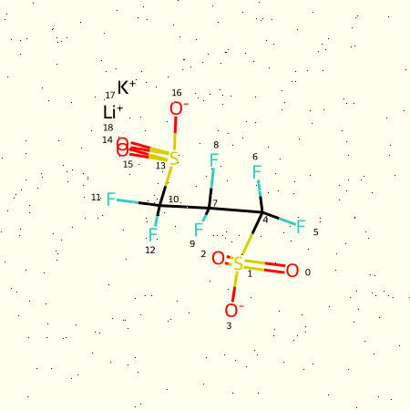 O=S(=O)([O-])C(F)(F)C(F)(F)C(F)(F)S(=O)(=O)[O-].[K+].[Li+]